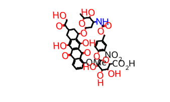 COc1cccc2c1C(=O)c1c(O)c3c(c(O)c1C2=O)CC(C(=O)CO)CC3OC1CC(NC(=O)OCc2ccc(OC3OC(C(=O)O)C(O)C(O)C3O)c([N+](=O)[O-])c2)C(O)C(C)O1